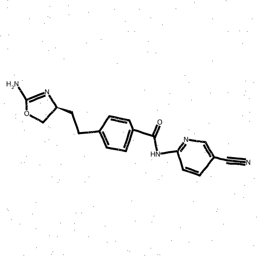 N#Cc1ccc(NC(=O)c2ccc(CC[C@H]3COC(N)=N3)cc2)nc1